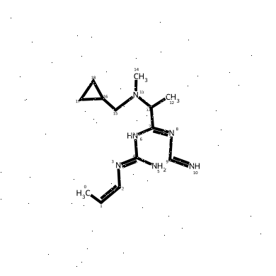 C/C=C\N=C(/N)N/C(=N\C=N)C(C)N(C)CC1CC1